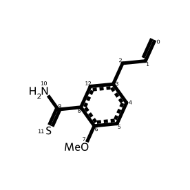 C=CCc1ccc(OC)c(C(N)=S)c1